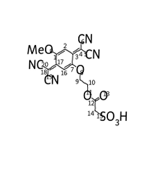 COc1cc(=C(C#N)C#N)c(OCCOC(=O)CS(=O)(=O)O)cc1=C(C#N)C#N